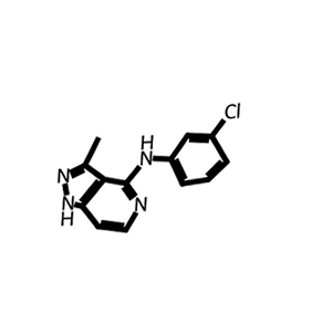 Cc1n[nH]c2ccnc(Nc3cccc(Cl)c3)c12